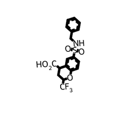 O=C(O)C1CC(C(F)(F)F)Oc2ccc(S(=O)(=O)NCc3ccccc3)cc21